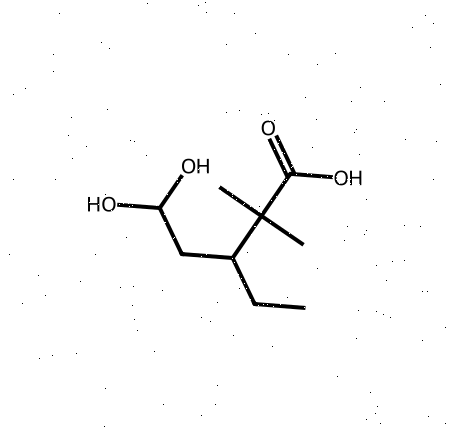 CCC(CC(O)O)C(C)(C)C(=O)O